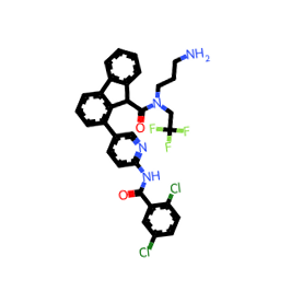 NCCCN(CC(F)(F)F)C(=O)C1c2ccccc2-c2cccc(-c3ccc(NC(=O)c4cc(Cl)ccc4Cl)nc3)c21